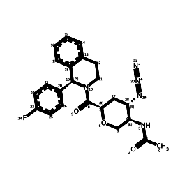 CC(=O)N[C@H]1CO[C@@H](C(=O)N2CCc3ccccc3[C@@H]2c2ccc(F)cc2)C[C@@H]1N=[N+]=[N-]